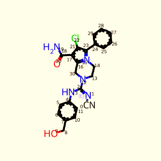 N#C/N=C(\Nc1ccc(CO)cc1)N1CCn2c(c(C(N)=O)c(Cl)c2-c2ccccc2)C1